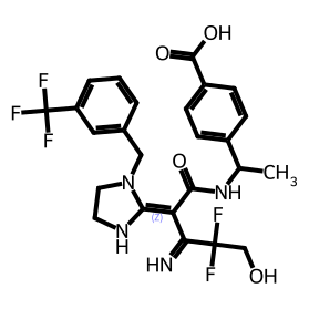 CC(NC(=O)/C(C(=N)C(F)(F)CO)=C1/NCCN1Cc1cccc(C(F)(F)F)c1)c1ccc(C(=O)O)cc1